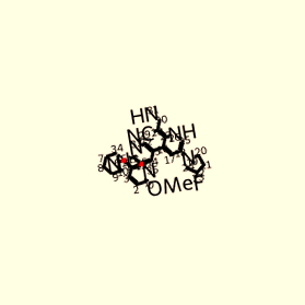 COc1ccc(CN2C3CC2CN(c2ccc(C4=CC(N5CC[C@@H](F)C5)=CN/C4=C(/C#N)C=N)cn2)C3)cn1